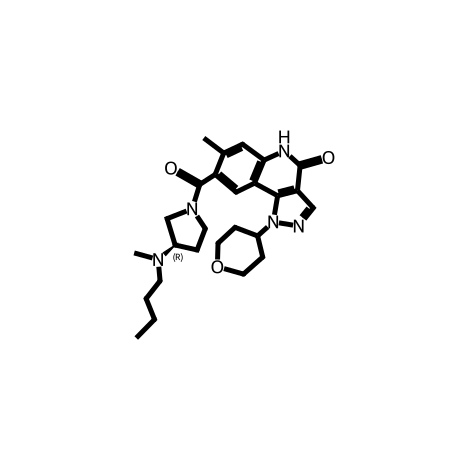 CCCCN(C)[C@@H]1CCN(C(=O)c2cc3c(cc2C)[nH]c(=O)c2cnn(C4CCOCC4)c23)C1